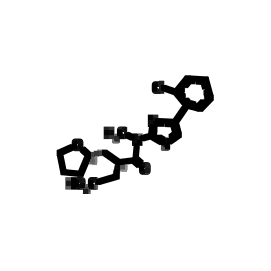 CN(C(=O)[C@@H](CC(=O)O)C[C@@H]1CCCO1)c1nc(-c2ccccc2Cl)cs1